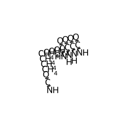 C.C.C.C.C.C.C.N=C=O.N=C=O.N=C=O.N=C=O.N=C=O